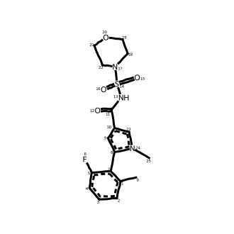 Cc1cccc(F)c1-c1cc(C(=O)NS(=O)(=O)N2CCOCC2)cn1C